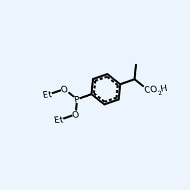 CCOP(OCC)c1ccc(C(C)C(=O)O)cc1